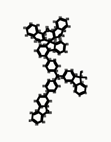 CC1(C)c2ccccc2-c2cc(N(c3ccc(-c4ccc5c(c4)oc4ccccc45)cc3)c3ccc(-c4cccc5c4-c4ccccc4C54c5ccc6ccccc6c5Oc5c4ccc4ccccc54)cc3)ccc21